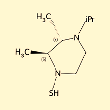 CC(C)N1CCN(S)[C@@H](C)[C@@H]1C